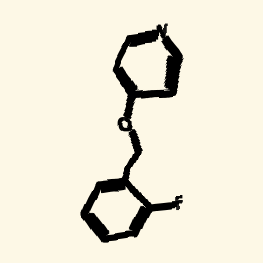 Fc1ccccc1COc1ccncc1